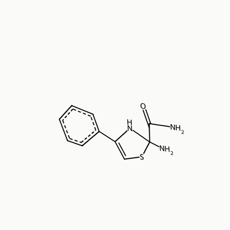 NC(=O)C1(N)NC(c2ccccc2)=CS1